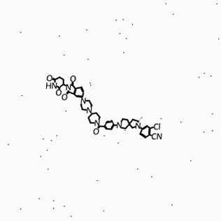 C[C@H]1CC2(CCN(c3ccc(C(=O)N4CCC(N5CCN(c6ccc7c(c6)C(=O)N(C6CCC(=O)NC6=O)C7=O)CC5)CC4)cc3)CC2)CN1c1ccc(C#N)c(Cl)c1